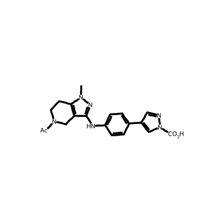 CC(=O)N1CCc2c(c(Nc3ccc(-c4cnn(C(=O)O)c4)cc3)nn2C)C1